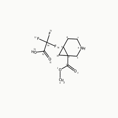 COC(=O)C12CNCCC1C2.O=C(O)C(F)(F)F